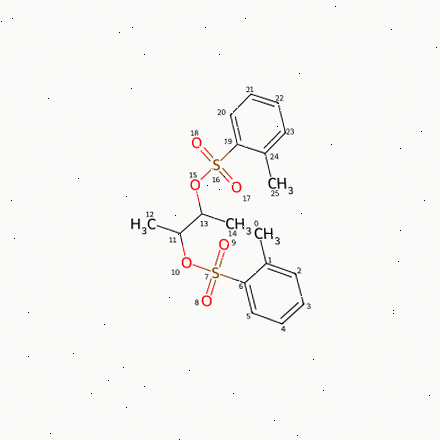 Cc1ccccc1S(=O)(=O)OC(C)C(C)OS(=O)(=O)c1ccccc1C